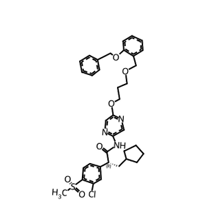 CS(=O)(=O)c1ccc([C@@H](CC2CCCC2)C(=O)Nc2cnc(OCCCOCc3ccccc3OCc3ccccc3)cn2)cc1Cl